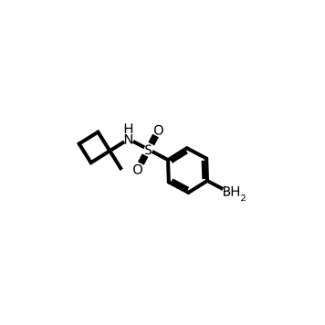 Bc1ccc(S(=O)(=O)NC2(C)CCC2)cc1